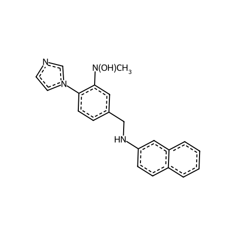 CN(O)c1cc(CNc2ccc3ccccc3c2)ccc1-n1ccnc1